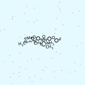 COc1ccc(-n2c3c(n(-c4ccc(Oc5cccc(F)c5)cc4)c2=O)=C(N)C(C)=C=CN=3)cc1N(C)C(=O)/C=C/CN(C)C1CC1